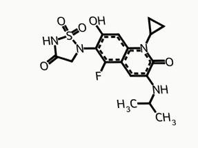 CC(C)Nc1cc2c(F)c(N3CC(=O)NS3(=O)=O)c(O)cc2n(C2CC2)c1=O